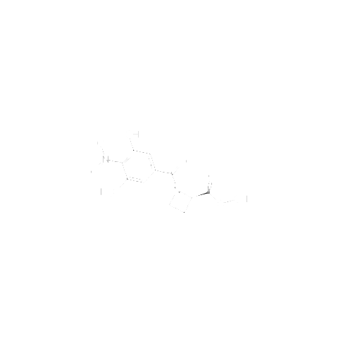 COC(=O)[C@H]1CCN1C(=O)c1cc(C)c([N+](=O)[O-])c(C)c1